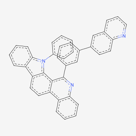 c1ccc(-n2c3ccccc3c3ccc4c5ccccc5nc(-c5cccc(-c6ccc7ncccc7c6)c5)c4c32)cc1